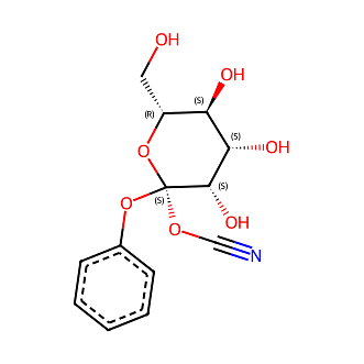 N#CO[C@]1(Oc2ccccc2)O[C@H](CO)[C@@H](O)[C@H](O)[C@@H]1O